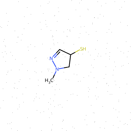 CN1CC(S)C=N1